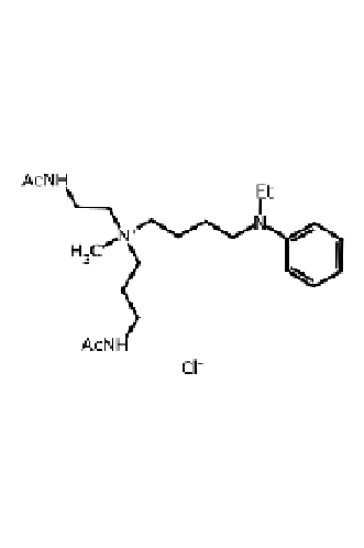 CCN(CCCC[N+](C)(CCCNC(C)=O)CCNC(C)=O)c1ccccc1.[Cl-]